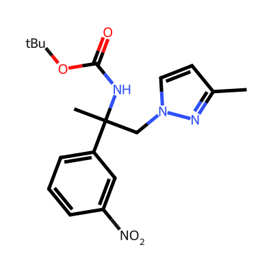 Cc1ccn(CC(C)(NC(=O)OC(C)(C)C)c2cccc([N+](=O)[O-])c2)n1